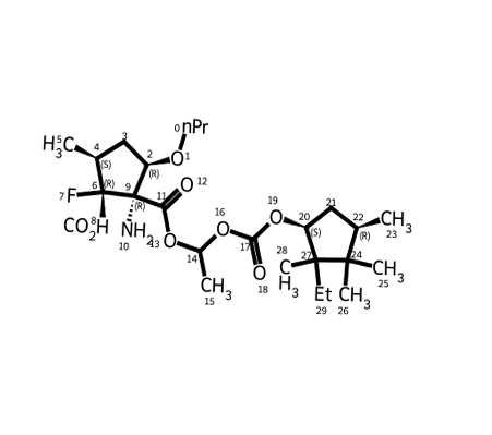 CCCO[C@@H]1C[C@H](C)[C@](F)(C(=O)O)[C@]1(N)C(=O)OC(C)OC(=O)O[C@H]1C[C@@H](C)C(C)(C)C1(C)CC